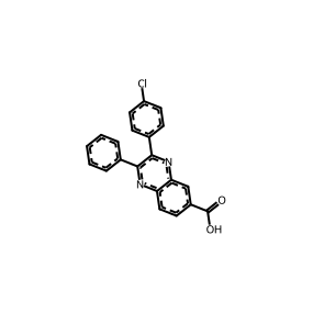 O=C(O)c1ccc2nc(-c3ccccc3)c(-c3ccc(Cl)cc3)nc2c1